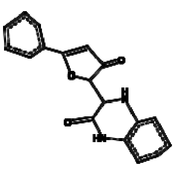 O=C1Nc2ccccc2NC1C1OC(c2ccccc2)=CC1=O